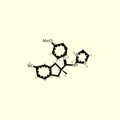 COc1cccc([C@H]2c3cc(C#N)ccc3C[C@@]2(C)C(=O)Nc2nccs2)c1